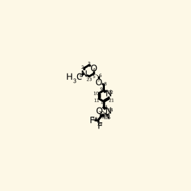 CN1CCO[C@H](COCc2ccc(-c3nnc(C(F)F)o3)cn2)C1